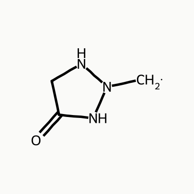 [CH2]N1NCC(=O)N1